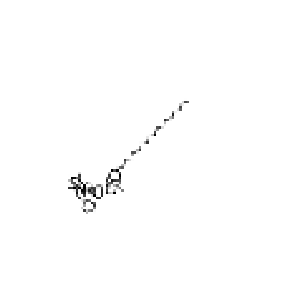 CCCCCCCCCCCCCCCCCCOCC(COC(=O)c1ccccc1C[N+]1(C)C=C(C)SC1)OC(C)C